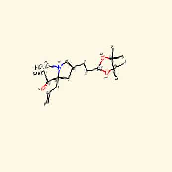 C=CCC1(C(=O)OC)CC(CCB2OC(C)(C)C(C)(C)O2)CN1C(=O)O